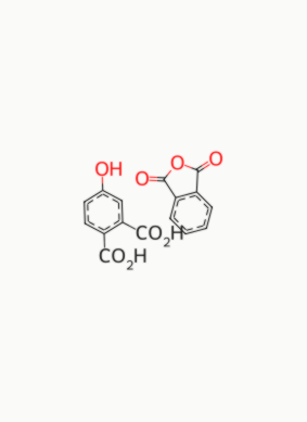 O=C(O)c1ccc(O)cc1C(=O)O.O=C1OC(=O)c2ccccc21